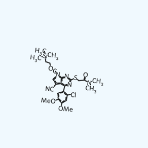 COc1cc(Cl)c(-c2nc(SCC(=O)N(C)C)nc3c2c(C#N)cn3COCC[Si](C)(C)C)cc1OC